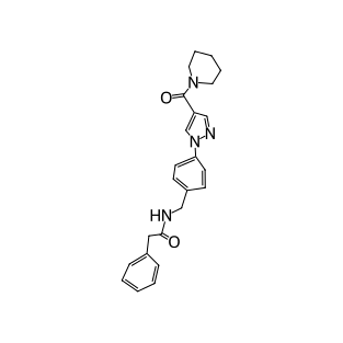 O=C(Cc1ccccc1)NCc1ccc(-n2cc(C(=O)N3CCCCC3)cn2)cc1